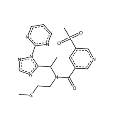 CSCCN(C(=O)c1cncc(S(C)(=O)=O)c1)C(C)c1ncnn1-c1ncccn1